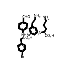 CC(=O)Nc1ccc(C=O)cc1.NCCC[C@H](N)C(=O)O.NCCc1ccccc1.O=C(O)Cc1ccc(Br)cc1